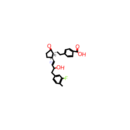 Cc1ccc(CC(O)/C=C/[C@H]2CCC(=O)[C@@H]2CCc2ccc(C(=O)O)cc2)cc1F